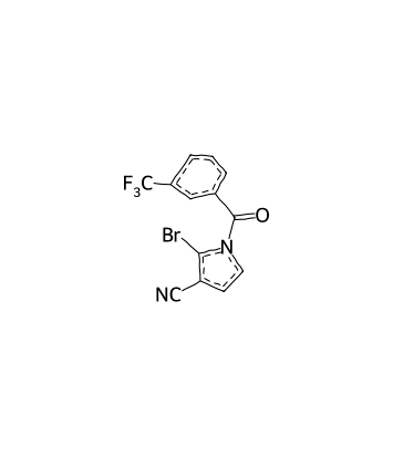 N#Cc1ccn(C(=O)c2cccc(C(F)(F)F)c2)c1Br